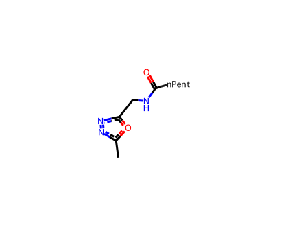 CCCCCC(=O)NCc1nnc(C)o1